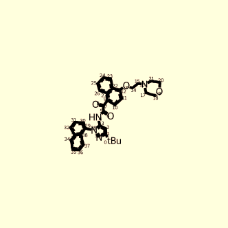 CC(C)(C)c1cc(NC(=O)C(=O)c2ccc(OCCN3CCOCC3)c3ccccc23)n(-c2cccc3ccccc23)n1